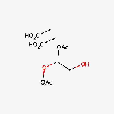 CC(=O)O.CC(=O)O.CC(=O)OOC(CO)OC(C)=O